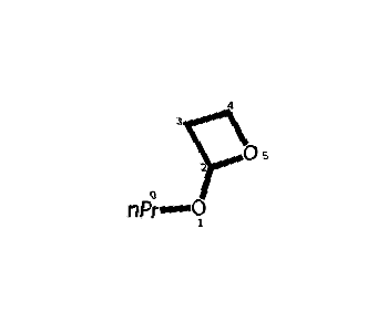 CCCOC1CCO1